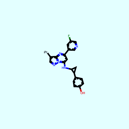 CC(C)c1cnn2c(NC3CC3c3ccc(O)cc3)cc(-c3cncc(F)c3)nc12